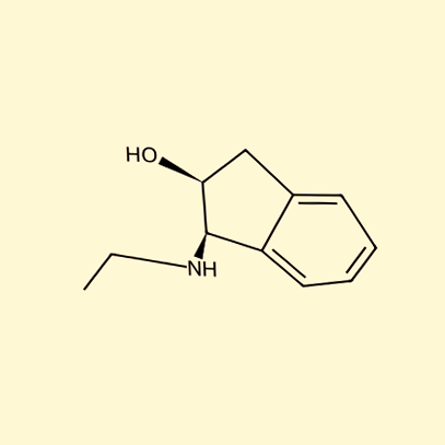 CCN[C@@H]1c2ccccc2C[C@@H]1O